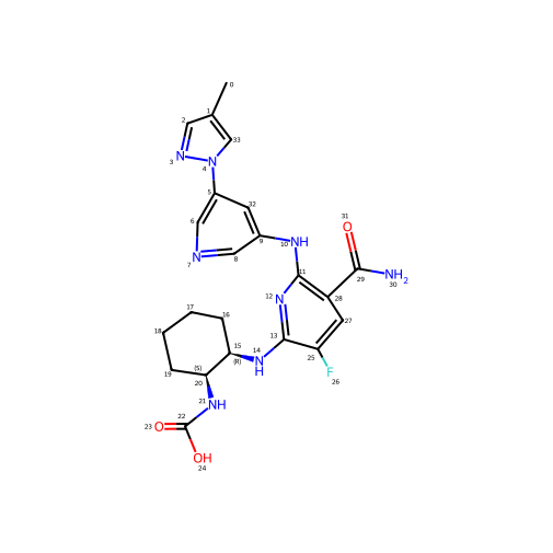 Cc1cnn(-c2cncc(Nc3nc(N[C@@H]4CCCC[C@@H]4NC(=O)O)c(F)cc3C(N)=O)c2)c1